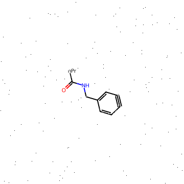 CCCC(=O)NCc1cc#ccc1